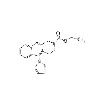 CCOC(=O)N1CCc2c(cc3ccccc3c2-n2cccc2)C1